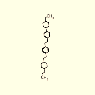 CCC[C@H]1CC[C@H](CCc2ccc(CCc3ccc([C@H]4CC[C@H](CC)CC4)cc3)cc2)CC1